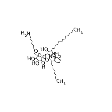 CCCCCCCCCCCCCC[C@@H](N)[C@@H](O)[C@H](COC1OC(COCCCCCCN)C(O)C(O)C1O)NC(=O)C(CCCCCCCC)c1ccccc1